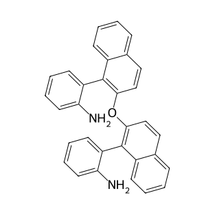 Nc1ccccc1-c1c(Oc2ccc3ccccc3c2-c2ccccc2N)ccc2ccccc12